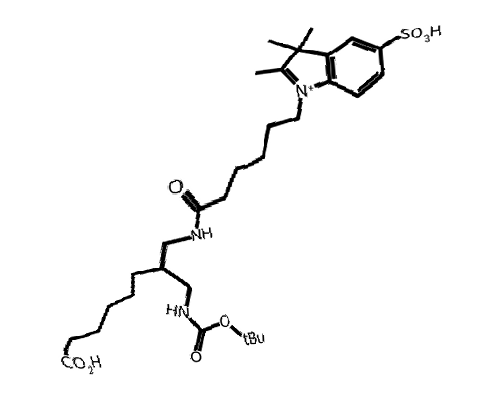 CC1=[N+](CCCCCC(=O)NCC(CCCCCC(=O)O)CNC(=O)OC(C)(C)C)c2ccc(S(=O)(=O)O)cc2C1(C)C